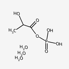 CC(O)C(=O)OP(=O)(O)O.O.O.O